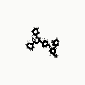 Brc1ccc2c(c1)c1ccccc1n2-c1ccc(-c2cc(-c3ccccc3)nc(-c3ccccc3)c2)cc1